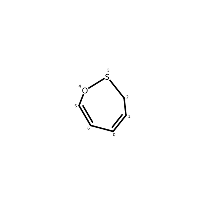 C1=CCSOC=C1